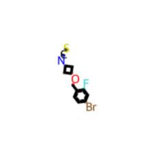 Fc1cc(Br)ccc1COC1CC(N=C=S)C1